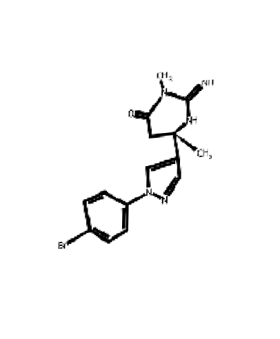 CN1C(=N)N[C@](C)(c2cnn(-c3ccc(Br)cc3)c2)CC1=O